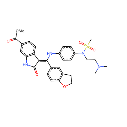 COC(=O)c1ccc2c(c1)NC(=O)C2=C(Nc1ccc(N(CCN(C)C)S(C)(=O)=O)cc1)c1ccc2c(c1)CCO2